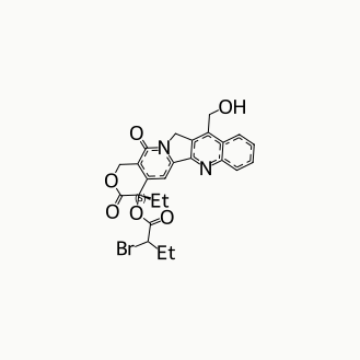 CCC(Br)C(=O)O[C@]1(CC)C(=O)OCc2c1cc1n(c2=O)Cc2c-1nc1ccccc1c2CO